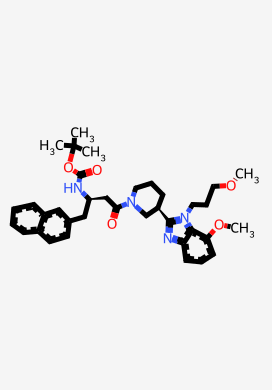 COCCCn1c([C@@H]2CCCN(C(=O)C[C@@H](Cc3ccc4ccccc4c3)NC(=O)OC(C)(C)C)C2)nc2cccc(OC)c21